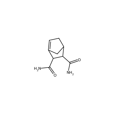 NC(=O)C1C2=CCC(C2)C1C(N)=O